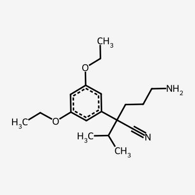 CCOc1cc(OCC)cc(C(C#N)(CCCN)C(C)C)c1